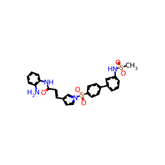 CS(=O)(=O)Nc1cccc(-c2ccc(S(=O)(=O)n3ccc(C=CC(=O)Nc4ccccc4N)c3)cc2)c1